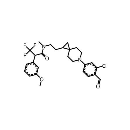 COc1cccc(C(C(=O)N(C)CCC2CC23CCN(c2ccc(C=O)c(Cl)c2)CC3)C(F)(F)F)c1